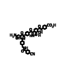 CCCOc1c(NC(=O)c2ccc(NC(=O)[C@H](CC(N)=O)NC(=O)c3ccc(CNC(=O)c4ccc(C#N)cc4)cc3)cc2)ccc(C(=O)Nc2ccc(C(=O)O)cc2)c1O